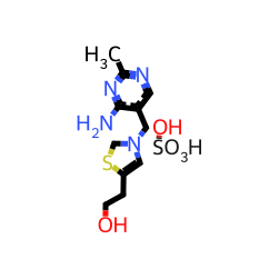 Cc1ncc(CN2C=C(CCO)SC2)c(N)n1.O=S(=O)(O)O